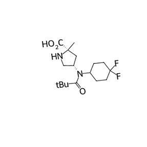 CC(C)(C)C(=O)N(C1CCC(F)(F)CC1)[C@@H]1CN[C@](C)(C(=O)O)C1